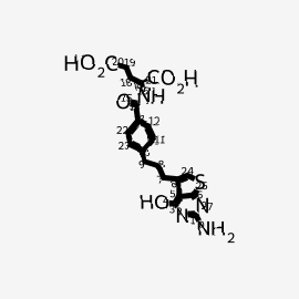 Nc1nc(O)c2c(CCCc3ccc(C(=O)N[C@@H](CCC(=O)O)C(=O)O)cc3)csc2n1